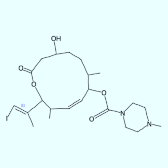 C/C(=C\I)C1OC(=O)CC(O)CCC(C)C(OC(=O)N2CCN(C)CC2)C=CC1C